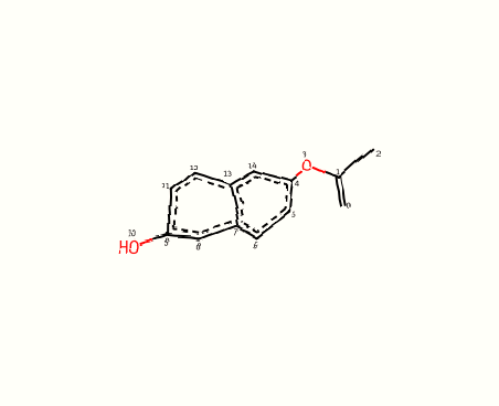 C=C(C)Oc1ccc2cc(O)ccc2c1